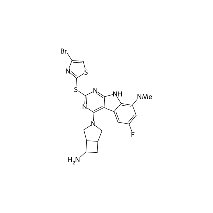 CNc1cc(F)cc2c1[nH]c1nc(Sc3nc(Br)cs3)nc(N3CC4CC(N)C4C3)c12